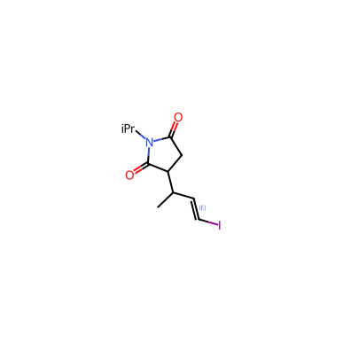 CC(/C=C/I)C1CC(=O)N(C(C)C)C1=O